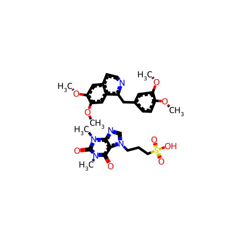 COc1ccc(Cc2nccc3cc(OC)c(OC)cc23)cc1OC.Cn1c(=O)c2c(ncn2CCCS(=O)(=O)O)n(C)c1=O